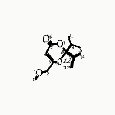 COCC1=CC(=O)OC(C(C)C)(C(C)C)O1